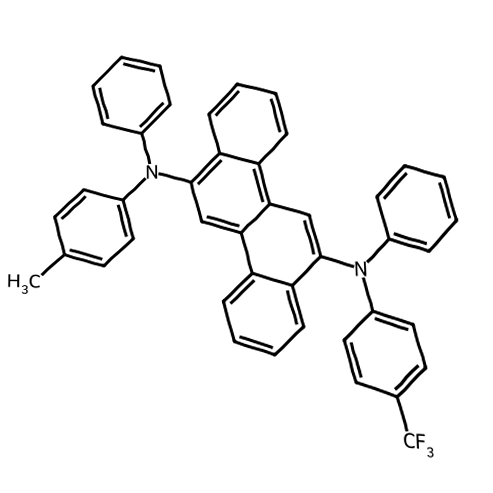 Cc1ccc(N(c2ccccc2)c2cc3c4ccccc4c(N(c4ccccc4)c4ccc(C(F)(F)F)cc4)cc3c3ccccc23)cc1